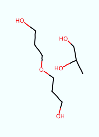 CC(O)CO.OCCCOCCCO